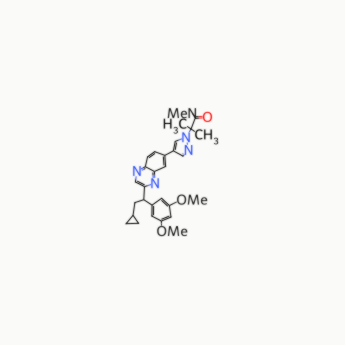 CNC(=O)C(C)(C)n1cc(-c2ccc3ncc(C(CC4CC4)c4cc(OC)cc(OC)c4)nc3c2)cn1